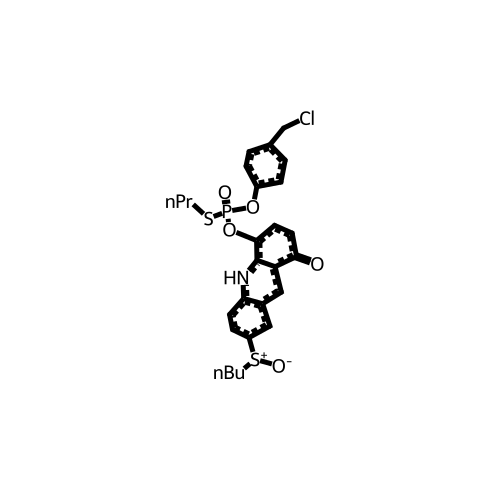 CCCC[S+]([O-])c1ccc2[nH]c3c(OP(=O)(Oc4ccc(CCl)cc4)SCCC)ccc(=O)c-3cc2c1